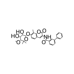 COC1C(O)C(O)C(Oc2ccc3cc(NC(=O)c4cccc(-c5ccccc5)c4)c(=O)oc3c2C)OC1(C)C